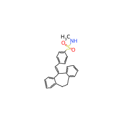 CNS(=O)(=O)c1ccc(C=C2c3ccccc3CCc3ccccc32)cc1